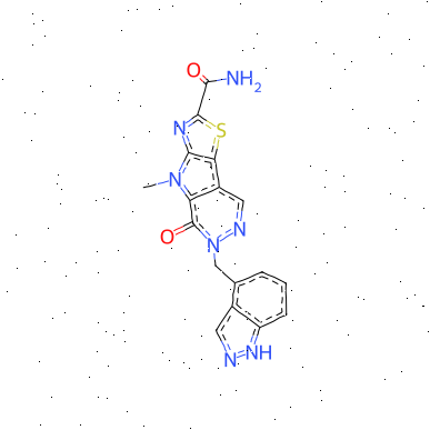 Cn1c2nc(C(N)=O)sc2c2cnn(Cc3cccc4[nH]ncc34)c(=O)c21